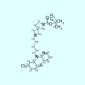 CC(C)(C)OC(=O)N1CCC2(CN(CCCCCN3c4cc(Cl)ccc4Sc4cccnc43)C2)C1